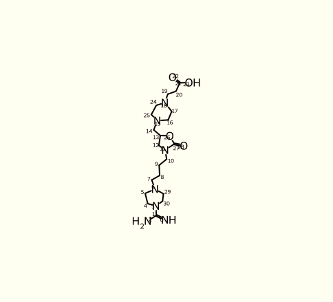 N=C(N)N1CCN(CCCCN2CC(CN3CCN(CCC(=O)O)CC3)OC2=O)CC1